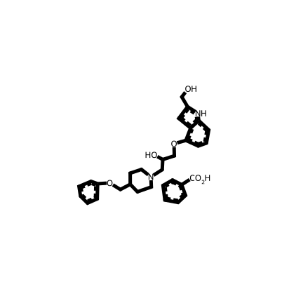 O=C(O)c1ccccc1.OCc1cc2c(OCC(O)CN3CCC(COc4ccccc4)CC3)cccc2[nH]1